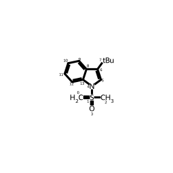 C=S(C)(=O)n1cc(C(C)(C)C)c2ccccc21